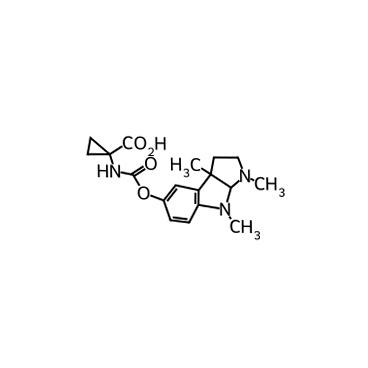 CN1CCC2(C)c3cc(OC(=O)NC4(C(=O)O)CC4)ccc3N(C)C12